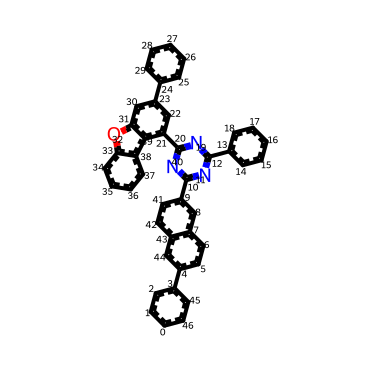 c1ccc(-c2ccc3cc(-c4nc(-c5ccccc5)nc(-c5cc(-c6ccccc6)cc6oc7ccccc7c56)n4)ccc3c2)cc1